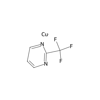 FC(F)(F)c1ncccn1.[Cu]